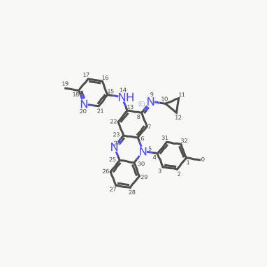 Cc1ccc(-n2c3c/c(=N\C4CC4)c(Nc4ccc(C)nc4)cc-3nc3ccccc32)cc1